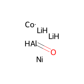 [Co].[LiH].[LiH].[Ni].[O]=[AlH]